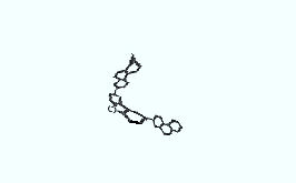 c1ccc2c(c1)ccc1cc(-c3ccc4oc5ccc(-c6ccc7c(ccc8ccccc87)c6)cc5c4c3)ccc12